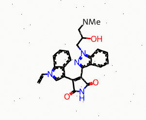 C=Cn1cc(C2=C(c3nn(CC(O)CNC)c4ccccc34)C(=O)NC2=O)c2ccccc21